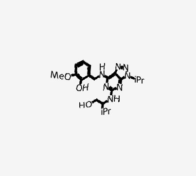 COc1cccc(CNc2nc(NC(CO)C(C)C)nc3c2nnn3C(C)C)c1O